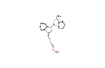 CCCCC1CC(C2CC(CCCCOC(C)(C)C)c3ccccc32)c2ccccc21